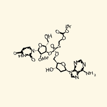 CO[C@@H]1[C@H](OP(=O)(OC[C@H]2O[C@@H](n3cnc4c(N)ncnc43)C[C@@H]2O)SCOC(=O)OC(C)C)[C@@H](CO)O[C@H]1n1ccc(=O)[nH]c1=O